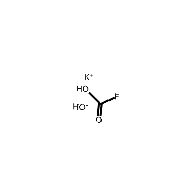 O=C(O)F.[K+].[OH-]